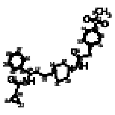 CS(=O)(=O)c1ccc(CC(=O)NN2CCN(CCC(NC(=O)C3CC3)c3ccccc3)CC2)cc1